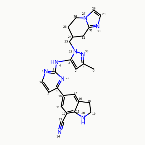 Cc1cc(Nc2nccc(-c3cc(C#N)c4c(c3)CCN4)n2)n(CC2CCn3ccnc3C2)n1